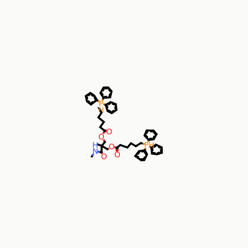 CNC(=O)C(C)(COC(=O)CCCCC[PH](c1ccccc1)(c1ccccc1)c1ccccc1)COC(=O)CCCCC[PH](c1ccccc1)(c1ccccc1)c1ccccc1